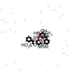 CC(=O)NC1C(O[C@@H](CC2CCCCC2)C(=O)O)[C@@H](O)[C@H](CO)O[C@H]1O[C@@H]1CCCC(C(F)F)C1OC1O[C@@H](C)C(O)[C@H](O)[C@@H]1O